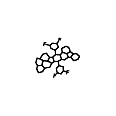 FC1CC(F)CC(C2C3CC4C5CCCCC5C5CCCC(C54)C3C(C3CC(F)CC(F)C3)C3C4CCC5CCC6CCCC7CC(C4C5C67)C23)C1